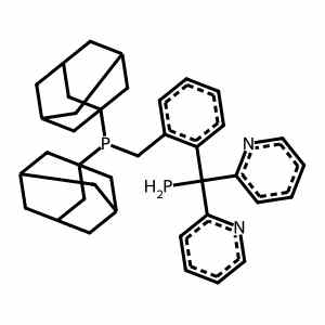 PC(c1ccccn1)(c1ccccn1)c1ccccc1CP(C12CC3CC(CC(C3)C1)C2)C12CC3CC(CC(C3)C1)C2